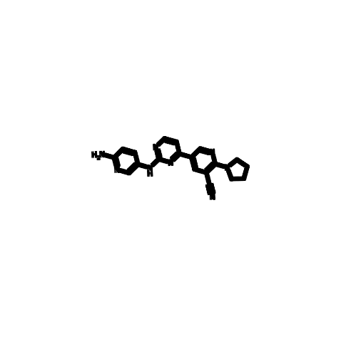 N#Cc1cc(-c2ccnc(Nc3ccc(N)nc3)n2)cnc1N1CCCC1